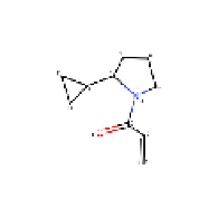 C=CC(=O)N1C[CH]CC1C1CC1